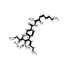 CC/C=C/C=C\C(Cl)=C(/C)NC(=O)c1ccc(C(/C=C/CC)=C(\C(N)=C(/C)CC)N(C)C)cc1